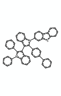 c1ccc(-c2ccc(-c3c(-c4c(-c5ccccc5)n(-c5ccccc5)c5ccccc45)c4ccccc4n3-c3ccc4c(c3)sc3ccccc34)cc2)cc1